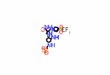 CS(=O)(=O)CCNC1CC[C@H](n2cc(C(N)=O)c(Nc3ccc(S(=O)(=O)C(F)(F)F)cc3)n2)C(=N)C1